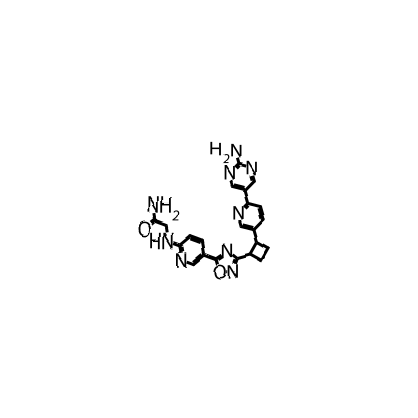 NC(=O)CNc1ccc(-c2nc(C3CCC3c3ccc(-c4cnc(N)nc4)nc3)no2)cn1